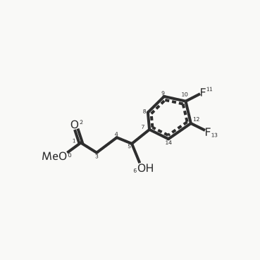 COC(=O)CCC(O)c1ccc(F)c(F)c1